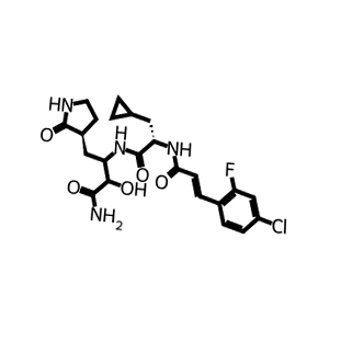 NC(=O)C(O)C(C[C@@H]1CCNC1=O)NC(=O)[C@H](CC1CC1)NC(=O)/C=C/c1ccc(Cl)cc1F